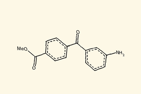 COC(=O)c1ccc(C(=O)c2cccc(N)c2)cc1